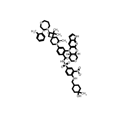 Cc1ccccc1[C@@H]1COCCCN1[C@@H]1C[C@@]2(CCN(c3ccc(C(=O)NS(=O)(=O)c4ccc(NCC5CCC(C)(O)CC5)c([N+](=O)[O-])c4)c(N4c5cc6cc[nH]c6nc5O[C@H]5COCC[C@@H]54)c3)[C@H](C)C2)C1(C)C